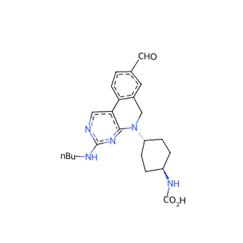 CCCCNc1ncc2c(n1)N([C@H]1CC[C@H](NC(=O)O)CC1)Cc1cc(C=O)ccc1-2